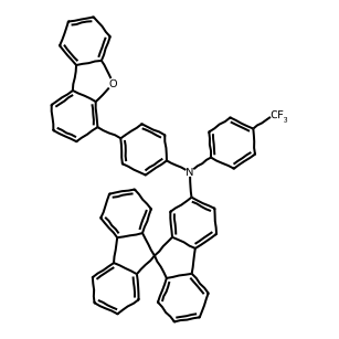 FC(F)(F)c1ccc(N(c2ccc(-c3cccc4c3oc3ccccc34)cc2)c2ccc3c(c2)C2(c4ccccc4-c4ccccc42)c2ccccc2-3)cc1